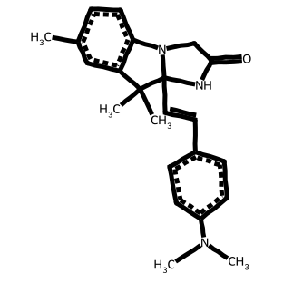 Cc1ccc2c(c1)C(C)(C)C1(C=Cc3ccc(N(C)C)cc3)NC(=O)CN21